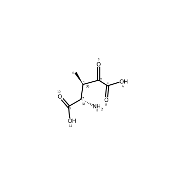 C[C@@H](C(=O)C(=O)O)[C@H](N)C(=O)O